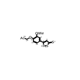 COc1cc(-c2cc(=S)ss2)ccc1OCC(C)=O